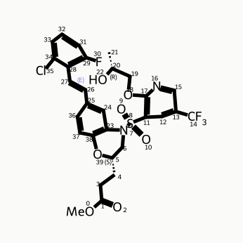 COC(=O)CC[C@H]1CN(S(=O)(=O)c2cc(C(F)(F)F)cnc2OC[C@@H](C)O)c2cc(/C=C/c3c(F)cccc3Cl)ccc2O1